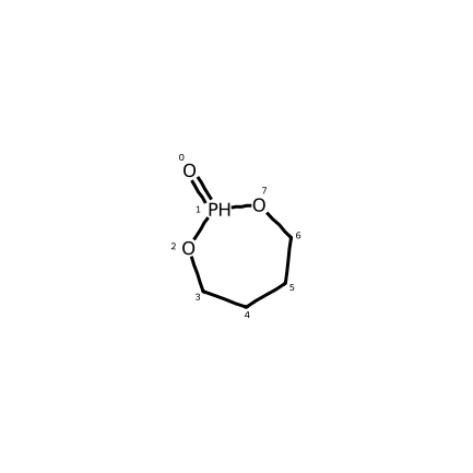 O=[PH]1OCCCCO1